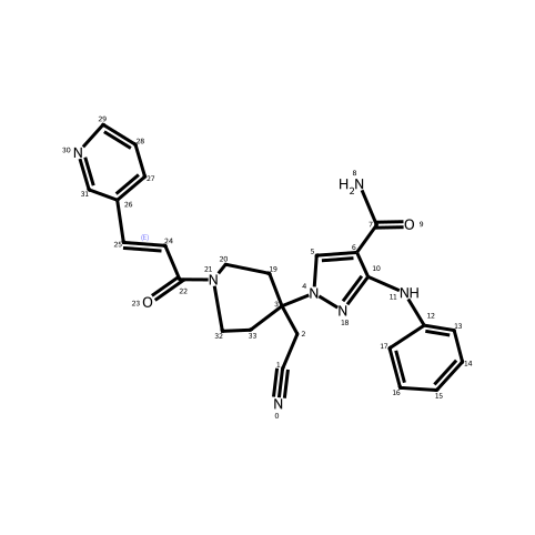 N#CCC1(n2cc(C(N)=O)c(Nc3ccccc3)n2)CCN(C(=O)/C=C/c2cccnc2)CC1